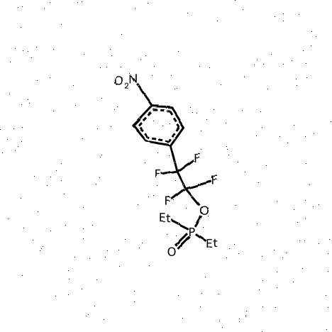 CCP(=O)(CC)OC(F)(F)C(F)(F)c1ccc([N+](=O)[O-])cc1